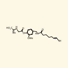 CCC(C)[C@H](NCC(=O)Oc1ccc(CNC(=O)CCCC/C=C/C(C)C)cc1OC)C(=O)O